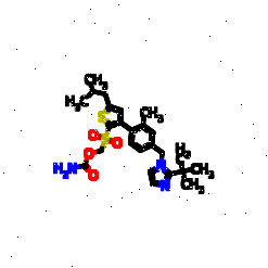 Cc1cc(Cn2ccnc2C(C)(C)C)ccc1-c1cc(CC(C)C)sc1S(=O)(=O)COC(N)=O